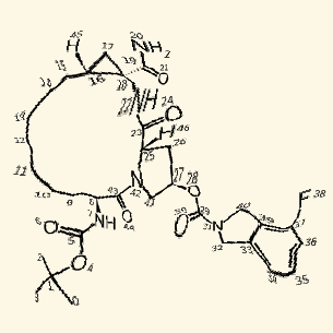 CC(C)(C)OC(=O)N[C@H]1CCCCCCC[C@@H]2C[C@@]2(C(N)=O)NC(=O)[C@@H]2C[C@@H](OC(=O)N3Cc4cccc(F)c4C3)CN2C1=O